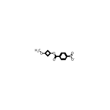 CO[C@H]1C[C@@H](OC(=O)c2ccc([N+](=O)[O-])cc2)C1